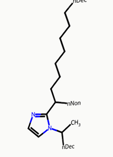 CCCCCCCCCCCCCCCCCC(CCCCCCCCC)c1nccn1C(C)CCCCCCCCCC